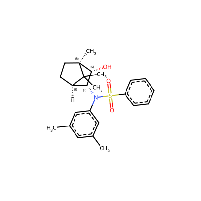 Cc1cc(C)cc(N([C@@H]2[C@H]3CC[C@@](C)([C@@H]2O)C3(C)C)S(=O)(=O)c2ccccc2)c1